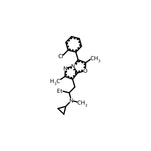 CCC(Cc1c(C)nn2c(-c3ccccc3Cl)c(C)oc12)N(C)C1CC1